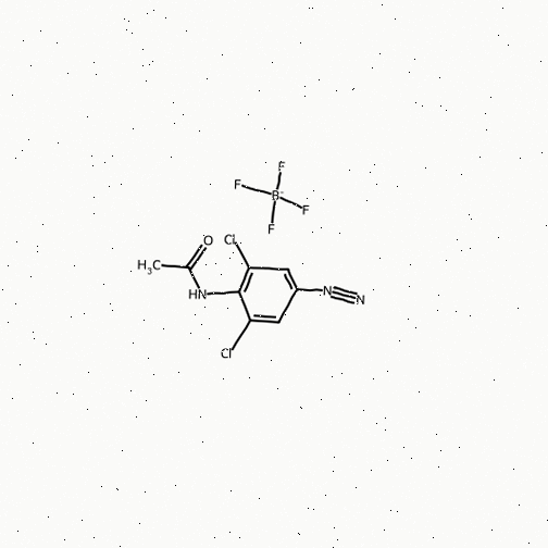 CC(=O)Nc1c(Cl)cc([N+]#N)cc1Cl.F[B-](F)(F)F